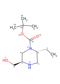 CC[C@@H]1CN[C@@H](CO)CN1C(=O)OC(C)(C)C